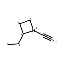 CCC1CCN1C#N